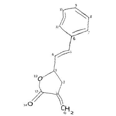 C=C1CC(/C=C/c2ccccc2)OC1=O